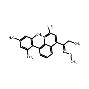 CCC(=NOC)c1cc(C)nc2c(-c3c(C)cc(C)cc3C)cccc12